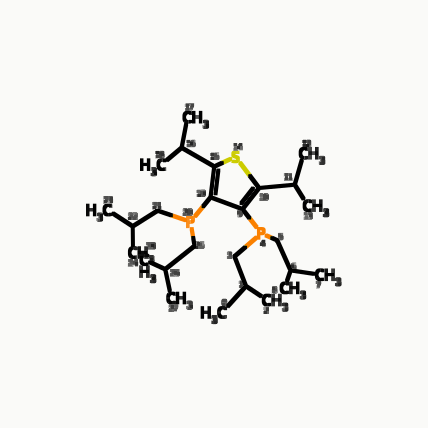 CC(C)CP(CC(C)C)c1c(C(C)C)sc(C(C)C)c1P(CC(C)C)CC(C)C